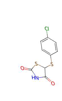 O=C1NC(=O)C(Sc2ccc(Cl)cc2)S1